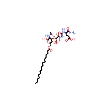 CCCCCCCCCCCCCCCCCC(=O)OC[C@H]1OC(O)[C@H](NC(C)=O)[C@@H](O[C@H](C)C(=O)N[C@@H](C)C(=O)N[C@H](CCC(=O)O)C(N)=O)[C@@H]1O